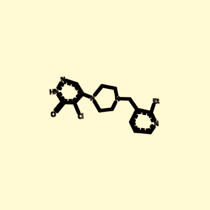 CCc1ncccc1CN1CCN(c2cn[nH]c(=O)c2Cl)CC1